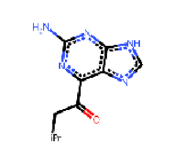 CC(C)CC(=O)c1nc(N)nc2[nH]cnc12